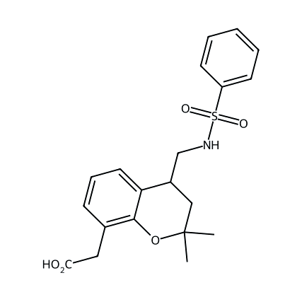 CC1(C)CC(CNS(=O)(=O)c2ccccc2)c2cccc(CC(=O)O)c2O1